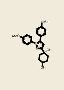 COc1ccc(-c2cc([C@]3(O)CC[C@H](O)CC3)nn2-c2ccc(OC)cc2)cc1